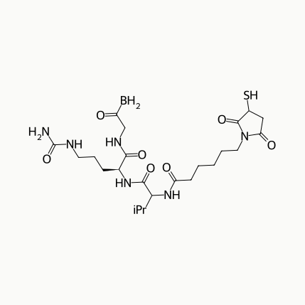 BC(=O)CNC(=O)[C@H](CCCNC(N)=O)NC(=O)C(NC(=O)CCCCCN1C(=O)CC(S)C1=O)C(C)C